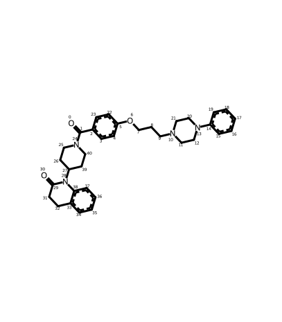 O=C(c1ccc(OCCCN2CCN(c3ccccc3)CC2)cc1)N1CCC(N2C(=O)CCc3ccccc32)CC1